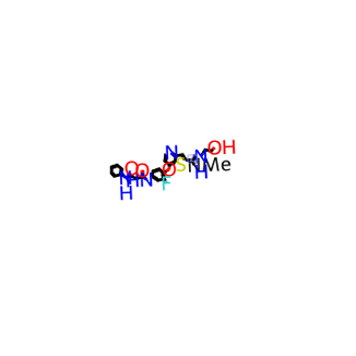 CN/C(=C\NCCO)c1cc2nccc(Oc3ccc(NC(=O)CC(=O)Nc4ccccc4)cc3F)c2s1